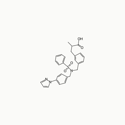 CC(Cc1cccc(CN(Cc2ccc(-n3cccn3)cc2)S(=O)(=O)c2ccccc2)c1)C(=O)O